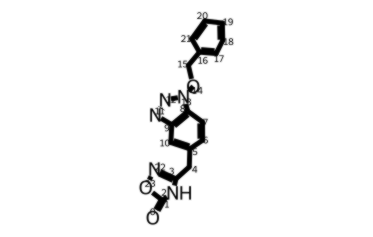 O=c1[nH]c(Cc2ccc3c(c2)nnn3OCc2ccccc2)no1